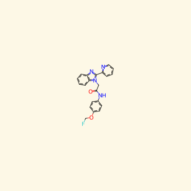 O=C(Cn1c(-c2ccccn2)nc2ccccc21)Nc1ccc(OCF)cc1